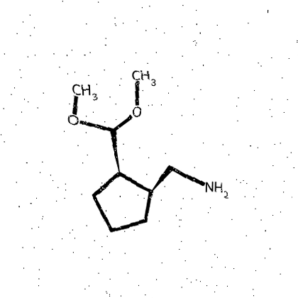 COC(OC)[C@@H]1CCC[C@@H]1CN